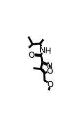 COCc1onc(C(=O)NC(C)C(C)C)c1C